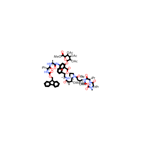 CC[C@H](C)[C@@H]([C@@H](CC(=O)N1CCC[C@H]1[C@H](OC)[C@@H](C)C(=O)N[C@H](C)[C@@H](OC(=O)c1ccc(NC(=O)[C@H](C)NC(=O)[C@@H](NC(=O)OCC2c3ccccc3-c3ccccc32)C(C)C)cc1OC1OC(C(=O)OC)C(OC(C)=O)C(OC(C)=O)C1OC(C)=O)c1ccccc1)OC)N(C)C(=O)[C@@H](NC(=O)[C@H](C(C)C)N(C)C(=O)OC(C)(C)C)C(C)C